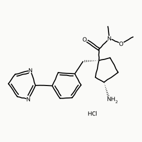 CON(C)C(=O)[C@@]1(Cc2cccc(-c3ncccn3)c2)CC[C@H](N)C1.Cl